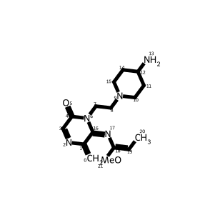 C=C1N=CC(=O)N(CCN2CCC(N)CC2)/C1=N/C(=C\C)OC